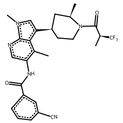 Cc1c(NC(=O)c2cccc(C#N)c2)cnc2c1c([C@@H]1CCN(C(=O)[C@H](C)C(F)(F)F)[C@H](C)C1)cn2C